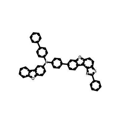 c1ccc(-c2ccc(N(c3ccc(-c4ccc5c(c4)oc4ccc6sc(-c7ccccc7)nc6c45)cc3)c3ccc4oc5ccccc5c4c3)cc2)cc1